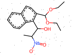 CCOC(OCC)c1ccc2ccccc2c1C(O)C(C)[N+](=O)[O-]